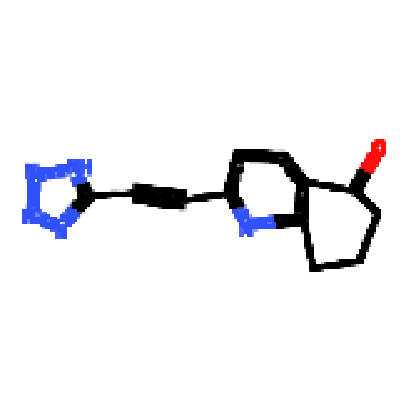 O=C1CCCc2nc(C#Cc3nnn[nH]3)ccc21